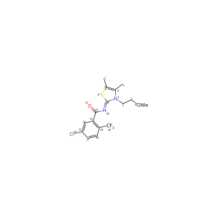 COCCn1c(C)c(C)sc1=NC(=O)c1cc(Cl)ccc1C(F)(F)F